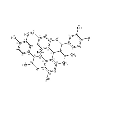 COC1C(c2ccc(O)c(O)c2)Oc2cc(C)cc(O)c2C1c1c(C)cc(O)c2c1OC(c1ccc(O)c(O)c1)C(O)C2